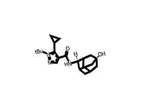 CC(C)(C)n1ncc(C(=O)N[C@H]2C3CC4CC2C[C@](O)(C4)C3)c1C1CC1